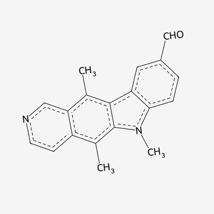 Cc1c2cnccc2c(C)c2c1c1cc(C=O)ccc1n2C